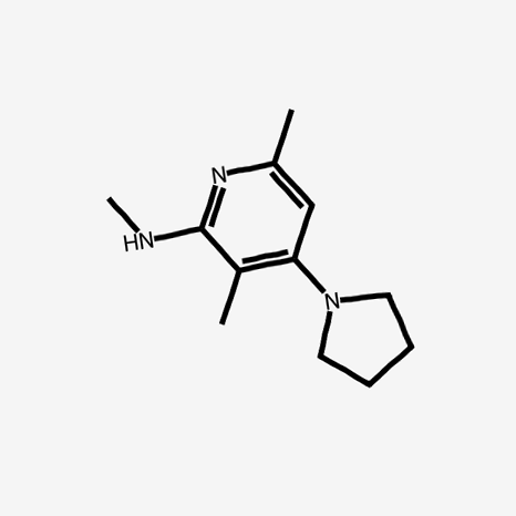 CNc1nc(C)cc(N2CCCC2)c1C